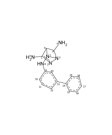 NC1=NN2C(N)C1N2Nc1cccc(-c2ccccc2)c1